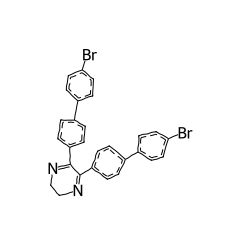 Brc1ccc(-c2ccc(C3=NCCN=C3c3ccc(-c4ccc(Br)cc4)cc3)cc2)cc1